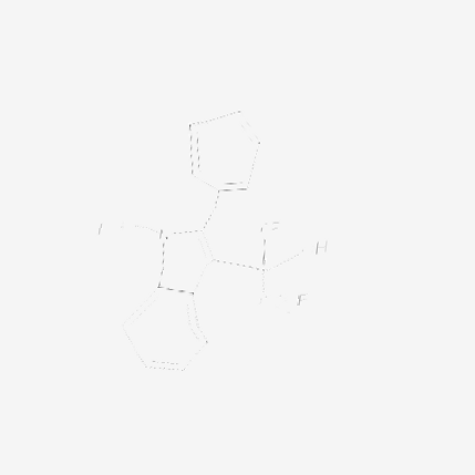 CCOC(=O)C(O)(c1c(-c2ccccc2)n(C)c2ccccc12)C(F)(F)F